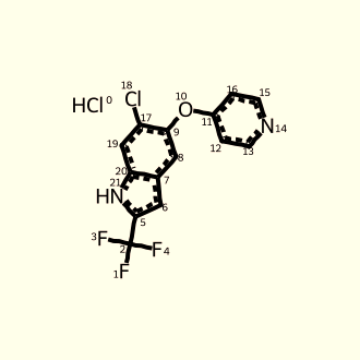 Cl.FC(F)(F)c1cc2cc(Oc3ccncc3)c(Cl)cc2[nH]1